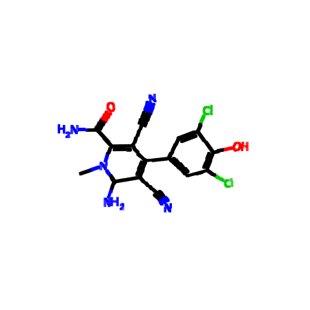 CN1C(C(N)=O)=C(C#N)C(c2cc(Cl)c(O)c(Cl)c2)=C(C#N)C1N